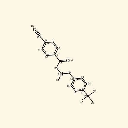 CN(CC(=O)c1ccc(C#N)cc1)Cc1ccc(C(C)(C)C)cc1